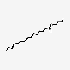 CCC=CCCCCCCCCCCC(=O)OCCCC